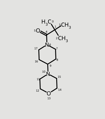 CC(C)(C)C(=O)N1CCC(N2CCOCC2)CC1